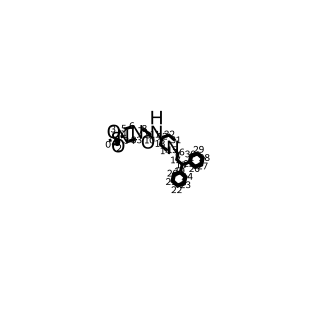 CS(=O)(=O)N1CCN(CC(=O)NC2CCN(CCC(c3ccccc3)c3ccccc3)CC2)CC1